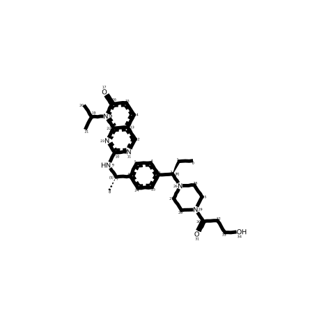 CC[C@H](c1ccc([C@H](C)Nc2ncc3ccc(=O)n(C(C)C)c3n2)cc1)N1CCN(C(=O)CCO)CC1